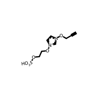 C#CCOn1cc[n+](OCCOS(=O)(=O)O)c1